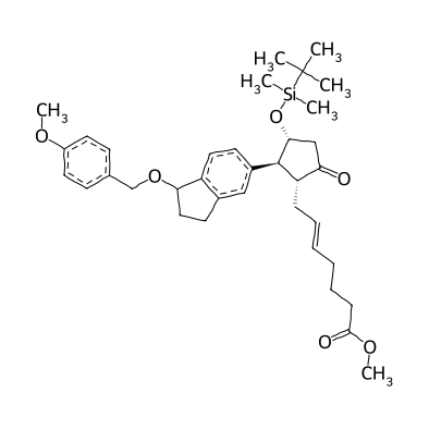 COC(=O)CCCC=CC[C@H]1C(=O)C[C@@H](O[Si](C)(C)C(C)(C)C)[C@@H]1c1ccc2c(c1)CCC2OCc1ccc(OC)cc1